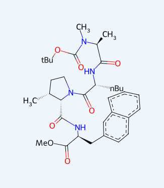 CCCC[C@@H](NC(=O)[C@H](C)N(C)C(=O)OC(C)(C)C)C(=O)N1CC[C@@H](C)[C@H]1C(=O)N[C@@H](Cc1ccc2ccccc2c1)C(=O)OC